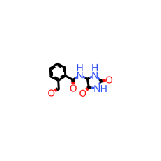 O=Cc1ccccc1C(=O)NC1NC(=O)NC1=O